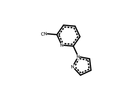 [C-]#[N+]c1cccc(-n2cccn2)n1